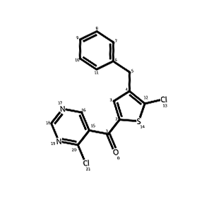 O=C(c1cc(Cc2ccccc2)c(Cl)s1)c1cncnc1Cl